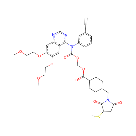 C#Cc1cccc(N(C(=O)OCOC(=O)C2CCC(CN3C(=O)CC(SC)C3=O)CC2)c2ncnc3cc(OCCOC)c(OCCOC)cc23)c1